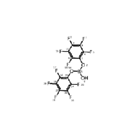 OB(Oc1c(F)c(F)c(F)c(F)c1F)Oc1c(F)c(F)c(F)c(F)c1F